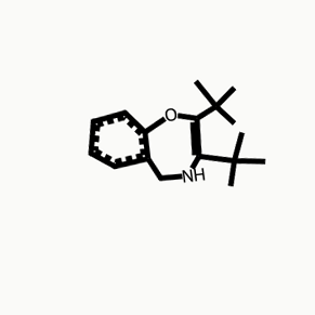 CC(C)(C)C1=C(C(C)(C)C)Oc2ccccc2CN1